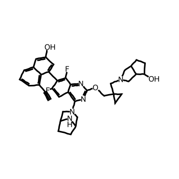 C#Cc1cccc2cc(O)cc(-c3c(F)cc4c(N5CC6CCC(C5)N6)nc(OCC5(CN6CC7CCC(O)C7C6)CC5)nc4c3F)c12